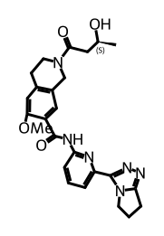 COc1cc2c(cc1C(=O)Nc1cccc(-c3nnc4n3CCC4)n1)CN(C(=O)C[C@H](C)O)CC2